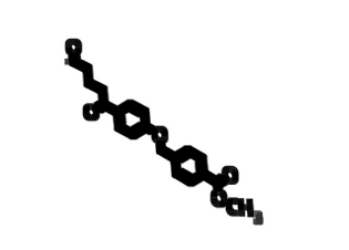 COC(=O)c1ccc(COc2ccc(C(=O)CCC[C]=O)cc2)cc1